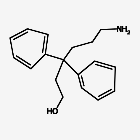 NCCCC(CCO)(c1ccccc1)c1ccccc1